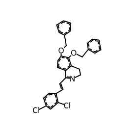 Clc1ccc(C=CC2=NCCc3c2ccc(OCc2ccccc2)c3OCc2ccccc2)c(Cl)c1